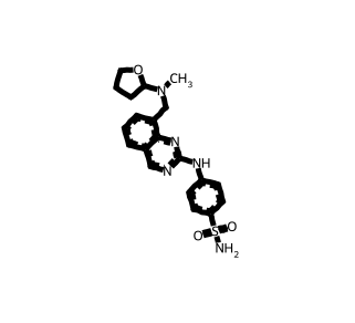 CN(Cc1cccc2cnc(Nc3ccc(S(N)(=O)=O)cc3)nc12)C1CCCO1